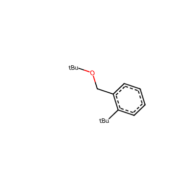 CC(C)(C)OCc1ccccc1C(C)(C)C